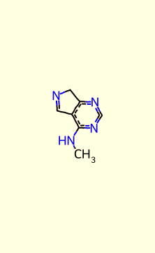 CNc1ncnc2c1C=NC2